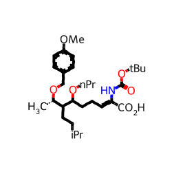 CCCOC(CC/C=C(\NC(=O)OC(C)(C)C)C(=O)O)C(CCC(C)C)[C@H](C)OCc1ccc(OC)cc1